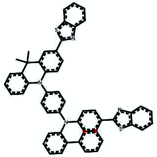 CC1(C)c2ccccc2N(c2ccc(N(c3ccc(-c4nc5ccccc5s4)cc3)c3ccccc3-c3ccccc3)cc2)c2ccc(-c3nc4ccccc4s3)cc21